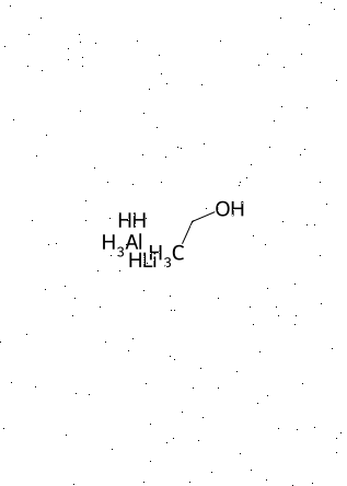 CCO.[AlH3].[HH].[LiH]